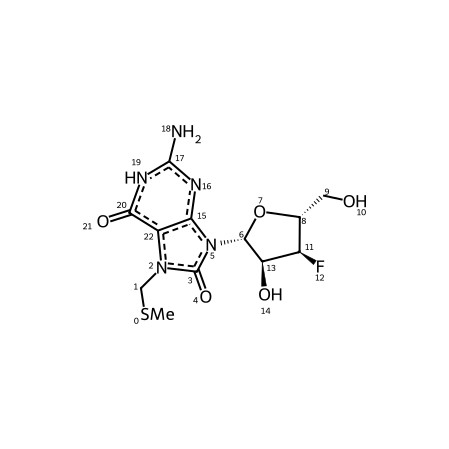 CSCn1c(=O)n([C@@H]2O[C@H](CO)[C@@H](F)[C@H]2O)c2nc(N)[nH]c(=O)c21